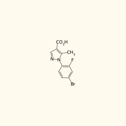 Cc1c(C(=O)O)cnn1-c1ccc(Br)cc1F